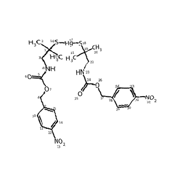 CC(C)(CNC(=O)OCc1ccc([N+](=O)[O-])cc1)[S][Hg][S]C(C)(C)CNC(=O)OCc1ccc([N+](=O)[O-])cc1